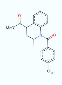 COC(=O)C1CC(C)N(C(=O)c2ccc(C(F)(F)F)cc2)c2ccccc21